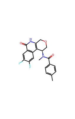 Cc1ccc(C(=O)N(C)[C@@H]2COCc3[nH]c(=O)c4cc(F)c(F)cc4c32)cc1